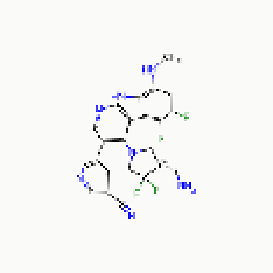 CNc1cc(F)c(F)c2c1[nH]c1ncc(-c3cncc(C#N)c3)c(N3C[C@H](CN)C(F)(F)C3)c12